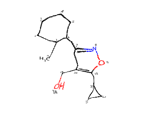 CC1CCCCC1c1noc(C2CC2)c1CO